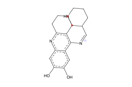 Oc1cc2nc3c(c(/N=C\C4CCCNC4)c2cc1O)CCCC3